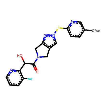 COc1ccc(Sn2cc3c(n2)CN(C(=O)C(O)c2ncccc2F)C3)nc1